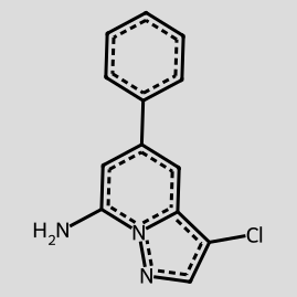 Nc1cc(-c2ccccc2)cc2c(Cl)cnn12